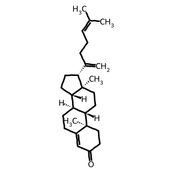 C=C(CCC=C(C)C)[C@H]1CC[C@H]2[C@@H]3CCC4=CC(=O)CC[C@]4(C)[C@H]3CC[C@]12C